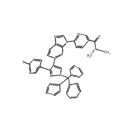 CN(C)C(=O)c1ccc(-n2cnc3ccc(-c4cn(C(c5ccccc5)(c5ccccc5)c5ccccc5)nc4-c4ccc(F)cc4)cc32)nc1